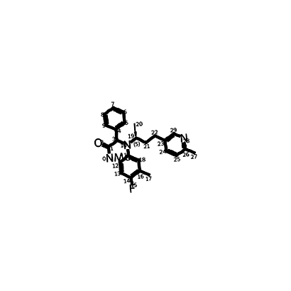 CNC(=O)C(c1ccccc1)N(c1ccc(F)c(C)c1)[C@@H](I)CCc1ccc(C)nc1